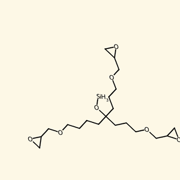 [SiH3]OC(CCCCOCC1CO1)(CCCOCC1CO1)CCCOCC1CO1